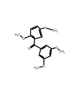 COc1cc(OC)cc(C(=O)c2cc(OC)ccc2OC)c1